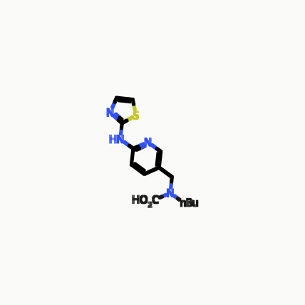 CCCCN(Cc1ccc(Nc2nccs2)nc1)C(=O)O